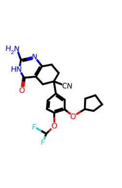 N#CC1(c2ccc(OC(F)F)c(OC3CCCC3)c2)CCc2nc(N)[nH]c(=O)c2C1